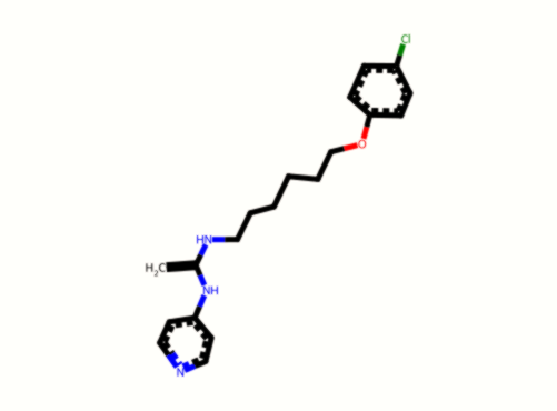 C=C(NCCCCCCOc1ccc(Cl)cc1)Nc1ccncc1